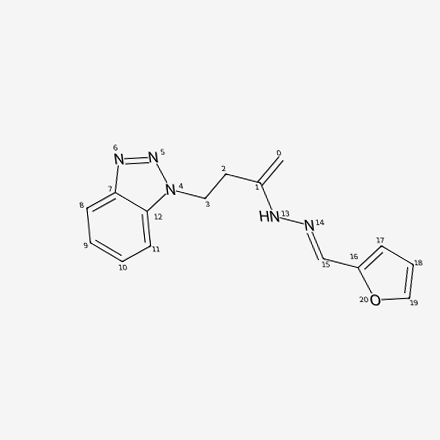 C=C(CCn1nnc2ccccc21)N/N=C/c1ccco1